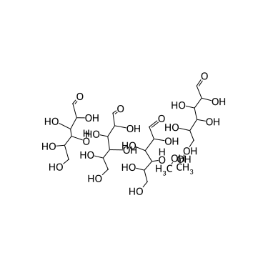 CO.CO.O=CC(O)C(O)C(O)C(O)CO.O=CC(O)C(O)C(O)C(O)CO.O=CC(O)C(O)C(O)C(O)CO.O=CC(O)C(O)C(O)C(O)CO